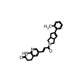 Cc1ccccc1C1=CC2CN(C(=O)/C=C/c3cnc4c(c3)CCC(=O)N4)CC2C1